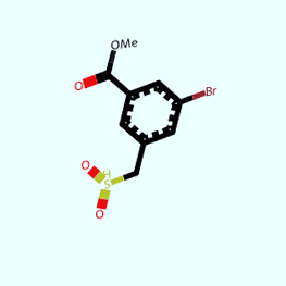 COC(=O)c1cc(Br)cc(C[SH](=O)=O)c1